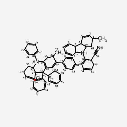 CC1C=CC2C3C=CC=CC3N(C3=C(c4ccc(C5=CC6=C(CC5C)N(c5ccccc5)C5CCC=C[C@]5(C)C6(c5ccccc5)C5C=CC=CC5)cc4)C=CCC3C#N)C2C1